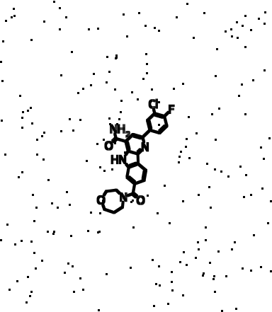 NC(=O)c1cc(-c2ccc(F)c(Cl)c2)nc2c1[nH]c1cc(C(=O)N3CCCOCC3)ccc12